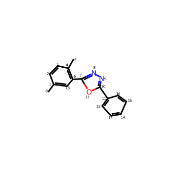 Cc1ccc(C)c(-c2nnc(-c3ccccc3)o2)c1